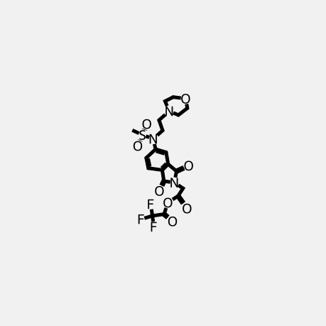 CS(=O)(=O)N(CCN1CCOCC1)c1ccc2c(c1)C(=O)N(CC(=O)OC(=O)C(F)(F)F)C2=O